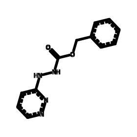 O=C(NNc1cccnn1)OCc1ccccc1